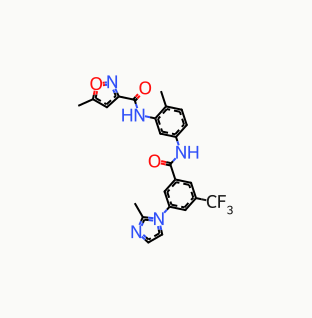 Cc1cc(C(=O)Nc2cc(NC(=O)c3cc(-n4ccnc4C)cc(C(F)(F)F)c3)ccc2C)no1